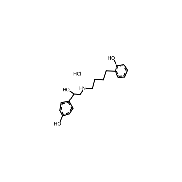 Cl.Oc1ccc(C(O)CNCCCCc2ccccc2O)cc1